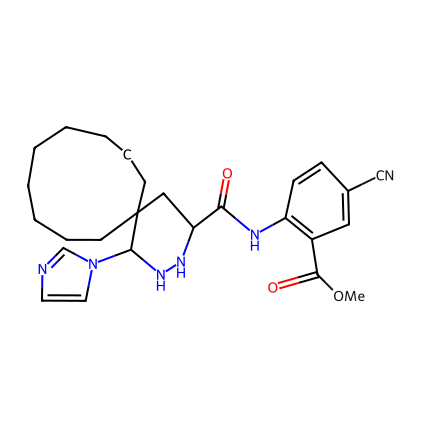 COC(=O)c1cc(C#N)ccc1NC(=O)C1CC2(CCCCCCCCC2)C(n2ccnc2)NN1